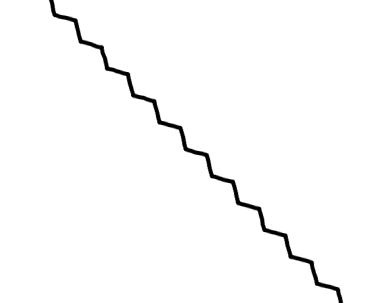 ClCCCCCCCCCCCCCCCCCCCCCCI